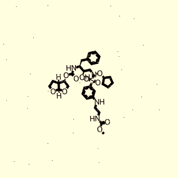 COC(=O)NCCNc1cccc(S(=O)(=O)N(C[C@@H](O)[C@H](Cc2ccccc2)NC(=O)O[C@@H]2CO[C@@H]3OCC[C@@H]32)OC2CCCC2)c1